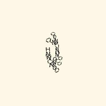 O=C(c1ccccc1CN1CCN(c2ccc3nc(COc4ccccc4)n(Cc4ccccc4)c3c2)CC1)C(c1ccccc1)n1c(COc2ccccc2)nc2ccc(N3CCNCC3)cc21